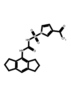 O=C(Nc1c2c(cc3c1CCC3)CCC2)NS(=O)(=O)n1ccc(C(=O)C(F)(F)F)c1